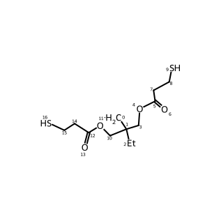 [CH2]C(CC)(COC(=O)CCS)COC(=O)CCS